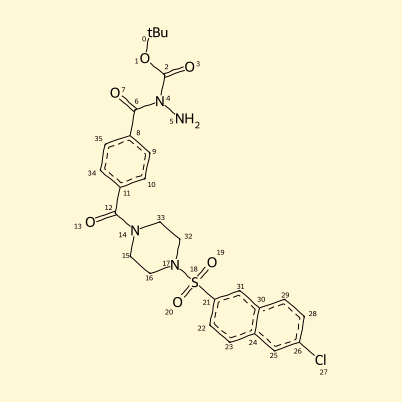 CC(C)(C)OC(=O)N(N)C(=O)c1ccc(C(=O)N2CCN(S(=O)(=O)c3ccc4cc(Cl)ccc4c3)CC2)cc1